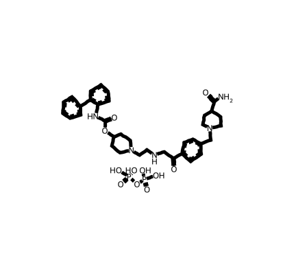 NC(=O)C1CCN(Cc2ccc(C(=O)CNCCN3CCC(OC(=O)Nc4ccccc4-c4ccccc4)CC3)cc2)CC1.O=P(O)(O)OP(=O)(O)O